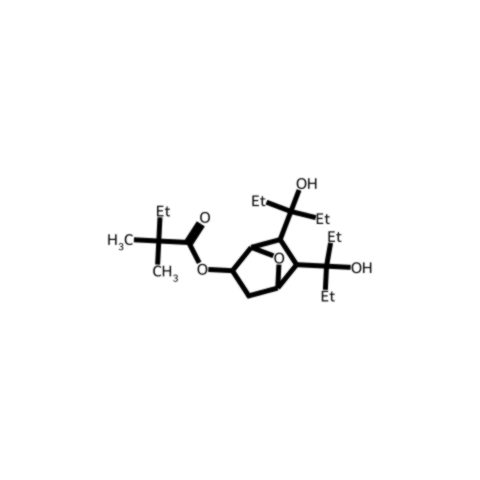 CCC(C)(C)C(=O)OC1CC2OC1C(C(O)(CC)CC)C2C(O)(CC)CC